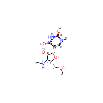 CNC1[C@@H](COC)O[C@@H](c2cn(C)c(=O)[nH]c2=O)[C@H]1O